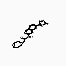 Cc1nnc(-c2ccc3cnc(NC(=O)CN4CCCOCC4)cc3c2)s1